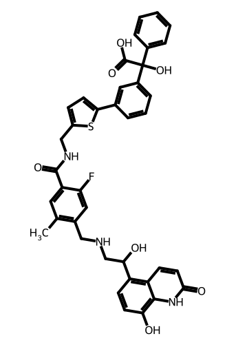 Cc1cc(C(=O)NCc2ccc(-c3cccc(C(O)(C(=O)O)c4ccccc4)c3)s2)c(F)cc1CNCC(O)c1ccc(O)c2[nH]c(=O)ccc12